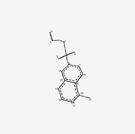 CCCC(C)(C)c1ccc2c(C)nccc2c1